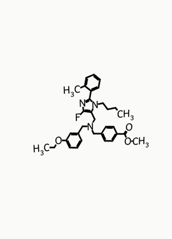 CCCCn1c(-c2ccccc2C)nc(F)c1CN(Cc1ccc(C(=O)OC)cc1)Cc1cccc(OCC)c1